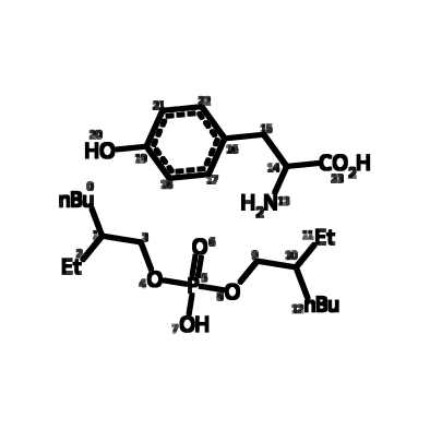 CCCCC(CC)COP(=O)(O)OCC(CC)CCCC.NC(Cc1ccc(O)cc1)C(=O)O